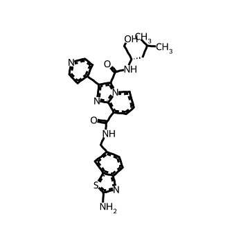 CC(C)C[C@@H](CO)NC(=O)c1c(-c2ccncc2)nc2c(C(=O)NCc3ccc4nc(N)sc4c3)cccn12